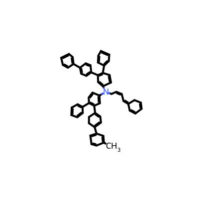 Cc1cccc(C2=CC=C(c3cc(N(C/C=C\C=C4\C=CC=CC4)c4ccc(-c5ccccc5)c(-c5ccc(-c6ccccc6)cc5)c4)ccc3-c3ccccc3)CC2)c1